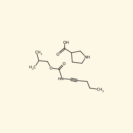 CCCC#CNC(=O)OCC(C)C.O=C(O)C1CCNC1